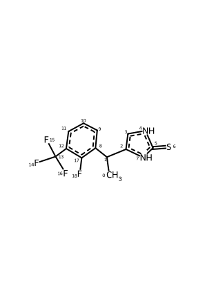 CC(c1c[nH]c(=S)[nH]1)c1cccc(C(F)(F)F)c1F